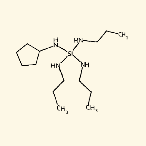 CCCN[Si](NCCC)(NCCC)NC1CCCC1